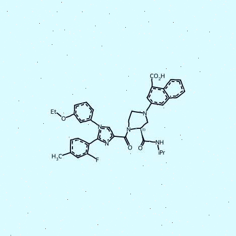 CCOc1cccc(-n2cc(C(=O)N3CCN(c4cc(C(=O)O)c5ccccc5c4)C[C@H]3C(=O)NC(C)C)nc2-c2ccc(C)cc2F)c1